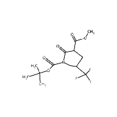 COC(=O)C1CC(C(F)(F)F)CN(C(=O)OC(C)(C)C)C1=O